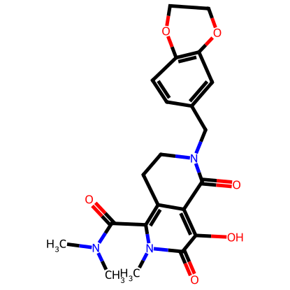 CN(C)C(=O)c1c2c(c(O)c(=O)n1C)C(=O)N(Cc1ccc3c(c1)OCCO3)CC2